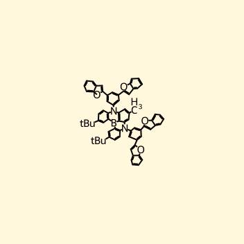 Cc1cc2c3c(c1)N(c1cc(-c4cc5ccccc5o4)cc(-c4cc5ccccc5o4)c1)c1ccc(C(C)(C)C)cc1B3c1cc(C(C)(C)C)ccc1N2c1cc(-c2cc3ccccc3o2)cc(-c2cc3ccccc3o2)c1